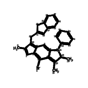 CC1=Cc2c(Br)c3c(cc2=C1CC1=Cc2ccccc2C1)N(c1ccccc1)C(C)C=3C